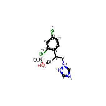 CCC(C)C(Cn1cncn1)c1ccc(Br)cc1Br.O=[N+]([O-])O